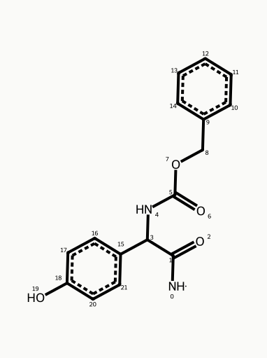 [NH]C(=O)C(NC(=O)OCc1ccccc1)c1ccc(O)cc1